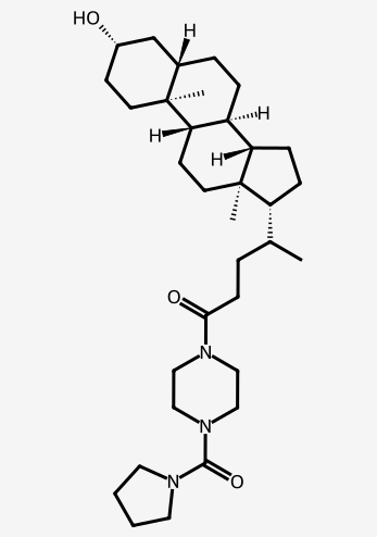 CC(CCC(=O)N1CCN(C(=O)N2CCCC2)CC1)[C@H]1CC[C@H]2[C@@H]3CC[C@H]4C[C@@H](O)CC[C@]4(C)[C@H]3CC[C@]12C